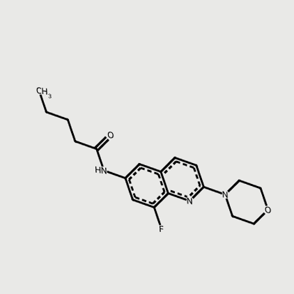 CCCCC(=O)Nc1cc(F)c2nc(N3CCOCC3)ccc2c1